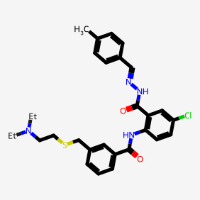 CCN(CC)CCSCc1cccc(C(=O)Nc2ccc(Cl)cc2C(=O)NN=Cc2ccc(C)cc2)c1